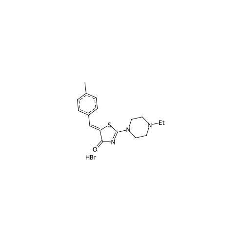 Br.CCN1CCN(C2=NC(=O)C(=Cc3ccc(C)cc3)S2)CC1